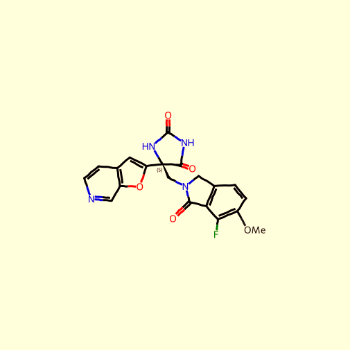 COc1ccc2c(c1F)C(=O)N(C[C@@]1(c3cc4ccncc4o3)NC(=O)NC1=O)C2